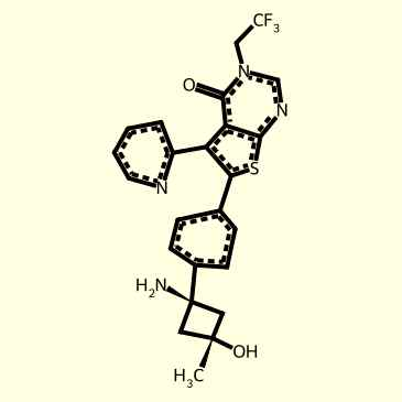 C[C@]1(O)C[C@@](N)(c2ccc(-c3sc4ncn(CC(F)(F)F)c(=O)c4c3-c3ccccn3)cc2)C1